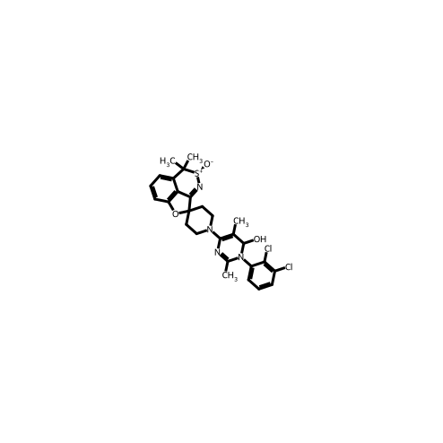 CC1=NC(N2CCC3(CC2)Oc2cccc4c2C3=N[S@+]([O-])C4(C)C)=C(C)C(O)N1c1cccc(Cl)c1Cl